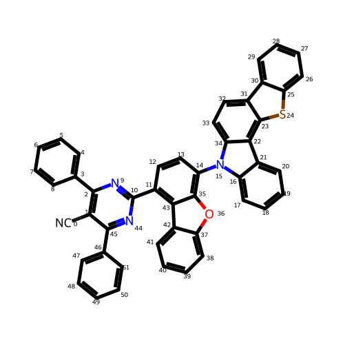 N#Cc1c(-c2ccccc2)nc(-c2ccc(-n3c4ccccc4c4c5sc6ccccc6c5ccc43)c3oc4ccccc4c23)nc1-c1ccccc1